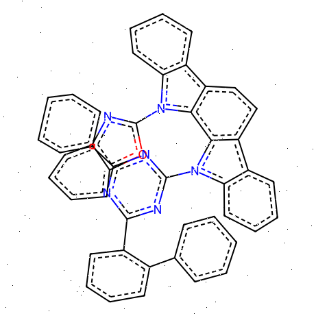 c1ccc(-c2nc(-c3ccccc3-c3ccccc3)nc(-n3c4ccccc4c4ccc5c6ccccc6n(-c6nc7ccccc7o6)c5c43)n2)cc1